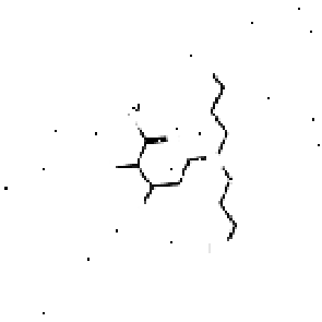 CCC[CH2][SnH]([CH2]CCC)[CH2]CC(C)C(C)C(=O)NN